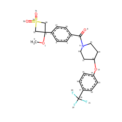 COC1(c2ccc(C(=O)N3CCC(Oc4ccc(C(F)(F)F)cc4)CC3)cc2)CS(=O)(=O)C1